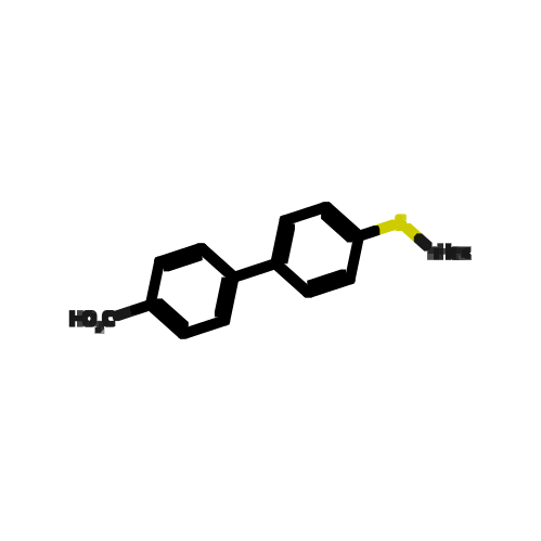 CCCCCCSc1ccc(-c2ccc(C(=O)O)cc2)cc1